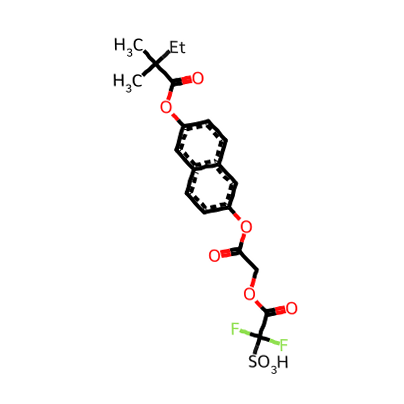 CCC(C)(C)C(=O)Oc1ccc2cc(OC(=O)COC(=O)C(F)(F)S(=O)(=O)O)ccc2c1